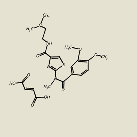 COc1ccc(C(=O)N(C)c2nc(C(=O)NCCN(C)C)cs2)cc1OC.O=C(O)C=CC(=O)O